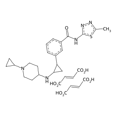 Cc1nnc(NC(=O)c2cccc(C3CC3NC3CCN(C4CC4)CC3)c2)s1.O=C(O)C=CC(=O)O.O=C(O)C=CC(=O)O